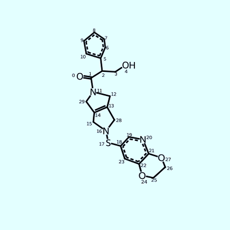 O=C(C(CO)c1ccccc1)N1CC2=C(CN(Sc3cnc4c(c3)OCCO4)C2)C1